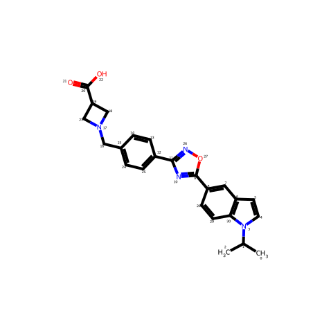 CC(C)n1ccc2cc(-c3nc(-c4ccc(CN5CC(C(=O)O)C5)cc4)no3)ccc21